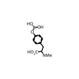 CNC(Cc1ccc(OB(O)O)cc1)C(=O)O